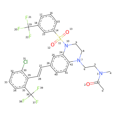 CC(=O)N(C)CCN1CCN(S(=O)(=O)c2cccc(C(F)(F)F)c2)c2cc(/C=C/c3c(Cl)cccc3C(F)(F)F)ccc21